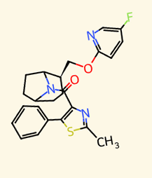 Cc1nc(C(=O)N2C3CCC2[C@@H](COc2ccc(F)cn2)CC3)c(-c2ccccc2)s1